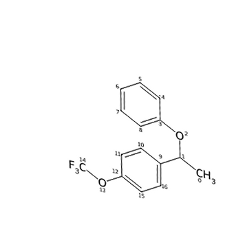 CC(Oc1[c]cccc1)c1ccc(OC(F)(F)F)cc1